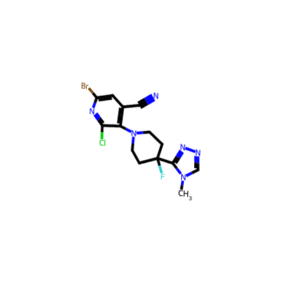 Cn1cnnc1C1(F)CCN(c2c(C#N)cc(Br)nc2Cl)CC1